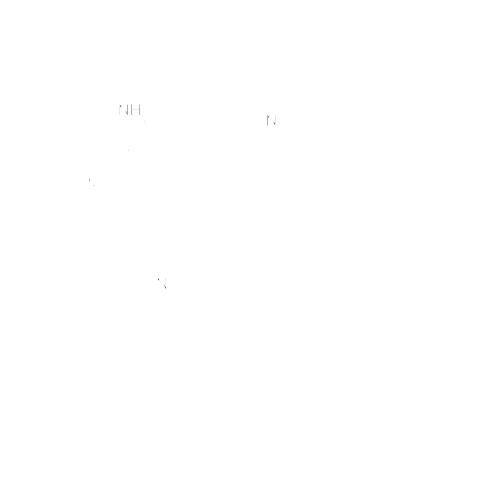 NC(=O)C(C1CCN(c2ccccc2)C1)C1CCN(c2ccccc2)C1